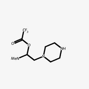 CNC(CN1CCNCC1)OC(=O)C(F)(F)F